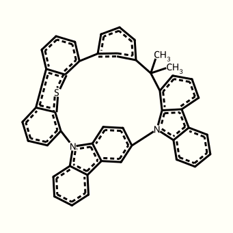 CC1(C)c2cccc(c2)-c2cccc3c2sc2c(cccc23)-n2c3ccccc3c3cc(ccc32)-n2c3ccccc3c3cccc1c32